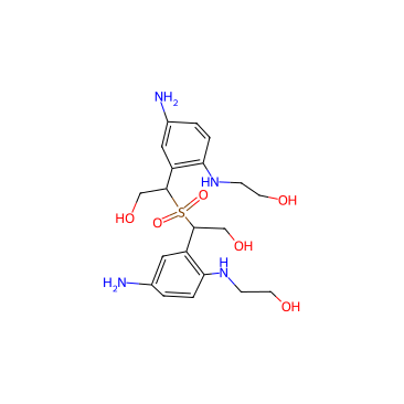 Nc1ccc(NCCO)c(C(CO)S(=O)(=O)C(CO)c2cc(N)ccc2NCCO)c1